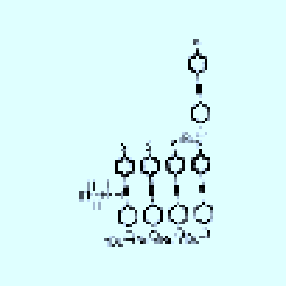 CCCCO[C@H]1CC[C@H](C#Cc2ccc([S])cc2)CC1.CCCCO[C@H]1CC[C@H](C#Cc2ccc([S])cc2)CC1.CCCCO[C@H]1CC[C@H](C#Cc2ccc([S])cc2)CC1.CCCCO[C@H]1CC[C@H](C#Cc2ccc([S])cc2)CC1.CCCCO[C@H]1CC[C@H](C#Cc2ccc([S])cc2)CC1.F.F.F.F.F